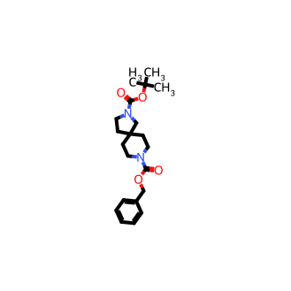 CC(C)(C)OC(=O)N1CCC2(CCN(C(=O)OCc3ccccc3)CC2)C1